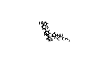 CCC(=O)N[C@H]1CC[C@@H](n2nncc2-c2ccc(-c3ccc4[nH]ccc4n3)cn2)C1